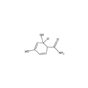 NC(=O)C1C=CC(O)=CC1(O)Cl